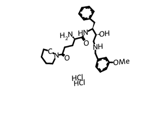 COc1cccc(CNC[C@@H](O)[C@H](Cc2ccccc2)NC(=O)[C@H](N)CCC(=O)N2CCCCC2)c1.Cl.Cl